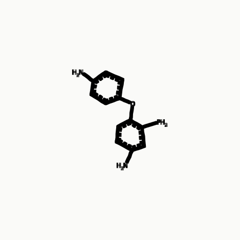 Nc1ccc(Oc2ccc(N)cc2P)cc1